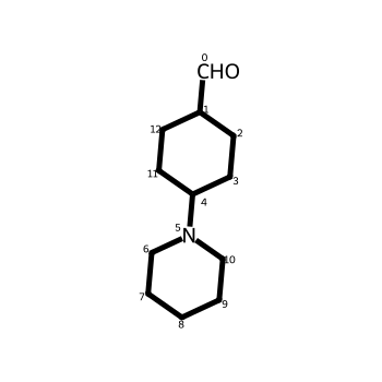 O=CC1CCC(N2CCCCC2)CC1